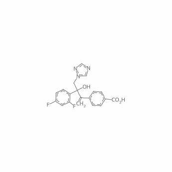 C=C(c1ccc(C(=O)O)cc1)C(O)(Cn1cncn1)c1ccc(F)cc1F